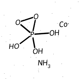 N.OP1(O)(O)OO1.[Co]